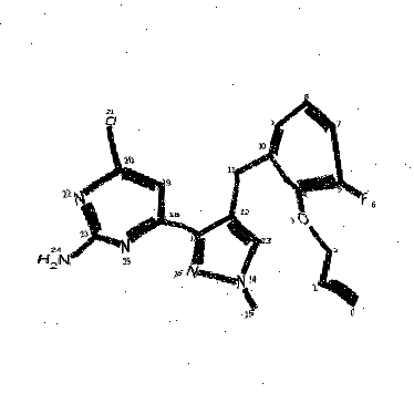 C=CCOc1c(F)cccc1Cc1cn(C)nc1-c1cc(Cl)nc(N)n1